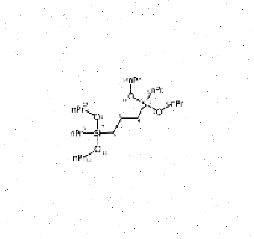 CCCO[Si](CCC)(CCC[Si](CCC)(OCCC)OCCC)OCCC